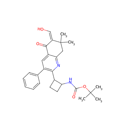 CC(C)(C)OC(=O)NC1CCC1c1nc2c(cc1-c1ccccc1)C(=O)C(=CO)C(C)(C)C2